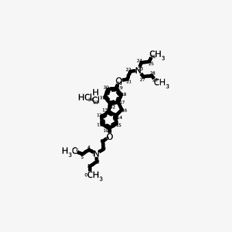 CCCN(CCC)CCOc1ccc2c(c1)Cc1cc(OCCN(CCC)CCC)ccc1-2.Cl.Cl